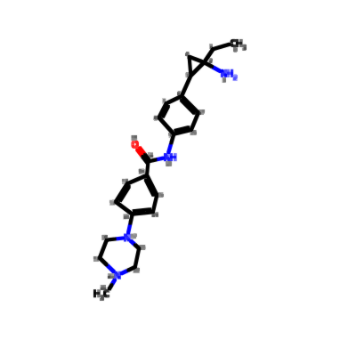 CCC1(N)CC1c1ccc(NC(=O)c2ccc(N3CCN(C)CC3)cc2)cc1